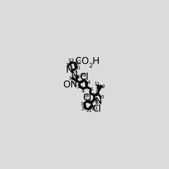 O=NC1(c2ccc(CCC3=C(C4CC4)CN=C3c3c(Cl)cccc3Cl)cc2Cl)CN(c2cc(C(=O)O)ccn2)C1